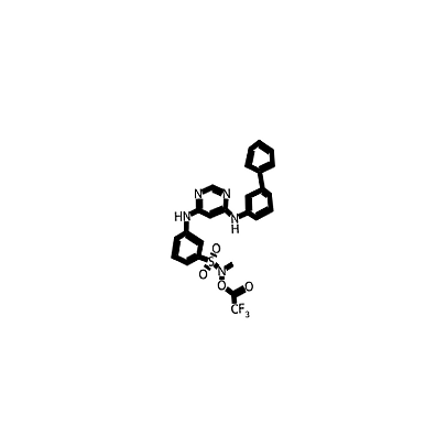 CN(OC(=O)C(F)(F)F)S(=O)(=O)c1cccc(Nc2cc(Nc3cccc(-c4ccccc4)c3)ncn2)c1